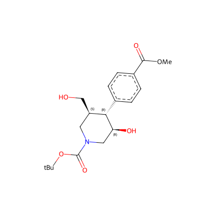 COC(=O)c1ccc([C@H]2[C@H](CO)CN(C(=O)OC(C)(C)C)C[C@@H]2O)cc1